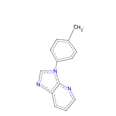 [CH2]c1ccc(-n2cnc3cccnc32)cc1